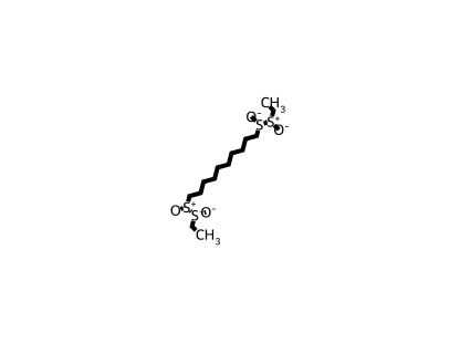 CC[S+]([O-])[S+]([O-])CCCCCCCCCC[S+]([O-])[S+]([O-])CC